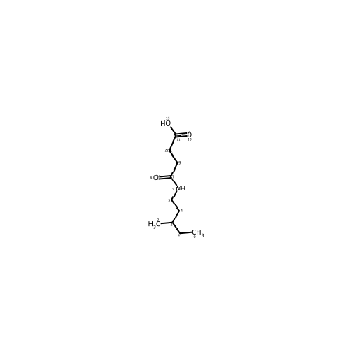 CCC(C)CCNC(=O)CCC(=O)O